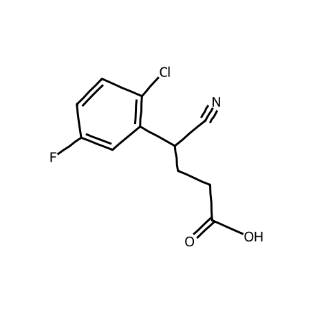 N#CC(CCC(=O)O)c1cc(F)ccc1Cl